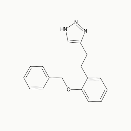 c1ccc(COc2ccccc2CCc2c[nH]nn2)cc1